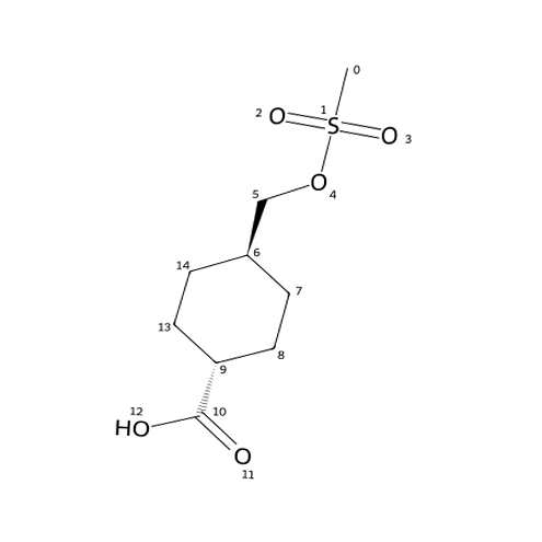 CS(=O)(=O)OC[C@H]1CC[C@H](C(=O)O)CC1